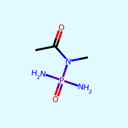 CC(=O)N(C)P(N)(N)=O